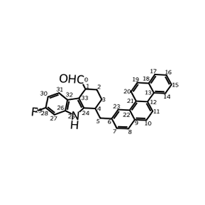 O=CC1CCC(Cc2ccc3ccc4c5ccccc5ccc4c3c2)c2[nH]c3cc(F)ccc3c21